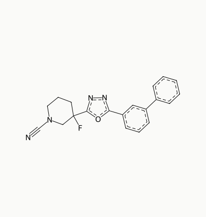 N#CN1CCCC(F)(c2nnc(-c3cccc(-c4ccccc4)c3)o2)C1